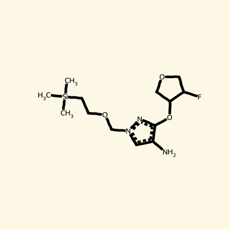 C[Si](C)(C)CCOCn1cc(N)c(OC2COCC2F)n1